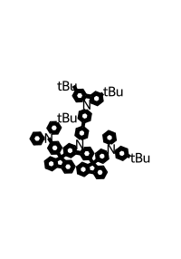 CC(C)(C)c1ccc(N(c2ccccc2)c2ccc(C3(c4ccc5c(c4)c4cc(C6(c7ccc(N(c8ccccc8)c8ccc(C(C)(C)C)cc8)cc7)c7ccccc7-c7ccccc76)ccc4n5-c4ccc(-c5ccc(-n6c7ccc(C(C)(C)C)cc7c7cc(C(C)(C)C)ccc76)cc5)cc4)c4ccccc4-c4ccccc43)cc2)cc1